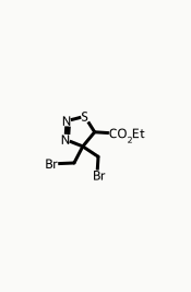 CCOC(=O)C1SN=NC1(CBr)CBr